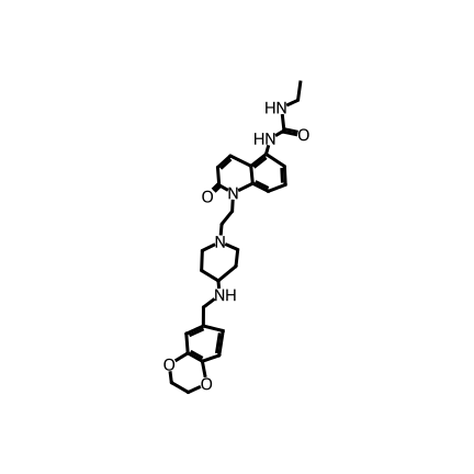 CCNC(=O)Nc1cccc2c1ccc(=O)n2CCN1CCC(NCc2ccc3c(c2)OCCO3)CC1